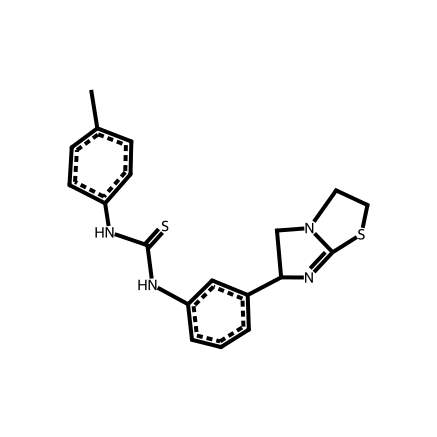 Cc1ccc(NC(=S)Nc2cccc(C3CN4CCSC4=N3)c2)cc1